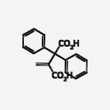 C=C(C(=O)O)C(C(=O)O)(c1ccccc1)c1ccccc1